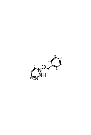 C1=CN(OCc2ccccc2)NN=C1